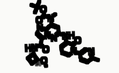 CO[C@@H]1CC[C@H]1NC(=O)c1cnc2c(N(C)C(=O)OC(C)(C)C)cc(Nc3cccn(-c4ccc(C)nc4)c3=O)nn12